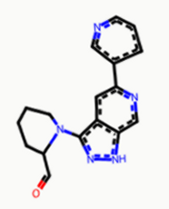 O=CC1CCCCN1c1n[nH]c2cnc(-c3cccnc3)cc12